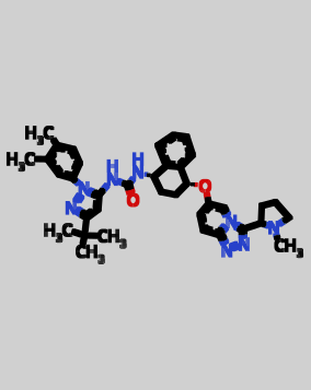 Cc1ccc(-n2nc(C(C)(C)C)cc2NC(=O)N[C@H]2CC[C@@H](Oc3ccc4nnc(C5CCCN5C)n4c3)c3ccccc32)cc1C